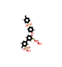 Cc1ccc(S(=O)(=O)c2ccc(Oc3ccc(-c4ccc(C)c(S(=O)(=O)O)c4)cc3SOOO)cc2)cc1